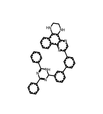 c1ccc(C2=NC(c3cccc(-c4cccc(-c5cnc6c7c(c8ccccc8c6n5)NCCN7)c4)c3)NC(c3ccccc3)=N2)cc1